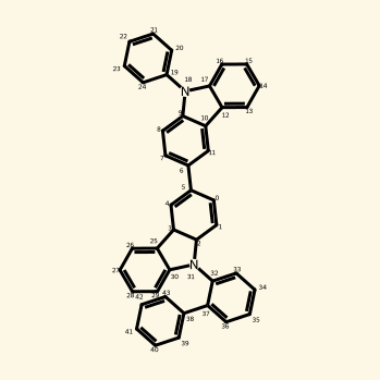 C1=CC2C(C=C1c1ccc3c(c1)c1ccccc1n3-c1ccccc1)c1ccccc1N2c1ccccc1-c1ccccc1